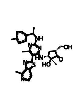 Cc1ccc([C@@H](C)Nc2nc(C)c(-c3nc4c(C)nccc4s3)c(N[C@@H]3C[C@H](CO)C(=O)[C@@]3(C)O)n2)cc1